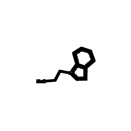 COCCn1ccc2ccccc21